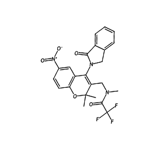 CN(CC1=C(N2Cc3ccccc3C2=O)c2cc([N+](=O)[O-])ccc2OC1(C)C)C(=O)C(F)(F)F